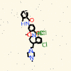 COc1cc(NC(=O)c2ccccc2C)ccc1C(=O)N1CCCC(CCN2CCN(C)CC2)c2cc(Cl)ccc21.Cl.Cl